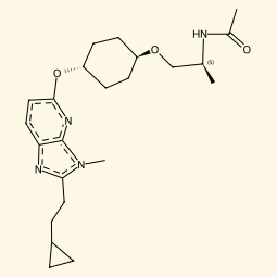 CC(=O)N[C@@H](C)CO[C@H]1CC[C@H](Oc2ccc3nc(CCC4CC4)n(C)c3n2)CC1